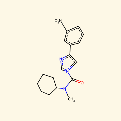 CN(C(=O)n1cnc(-c2cccc([N+](=O)[O-])c2)c1)C1CCCCC1